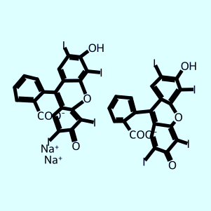 O=C([O-])c1ccccc1-c1c2cc(I)c(=O)c(I)c-2oc2c(I)c(O)c(I)cc12.O=C([O-])c1ccccc1-c1c2cc(I)c(=O)c(I)c-2oc2c(I)c(O)c(I)cc12.[Na+].[Na+]